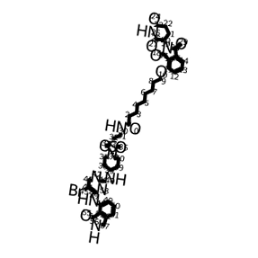 O=C(CCCCCCCCOc1cccc2c1C(=O)N(C1CCC(=O)NC1=O)C2=O)NCCS(=O)(=O)N1CCC(Nc2ncc(Br)c(Nc3cccc4c3C(=O)NC4)n2)CC1